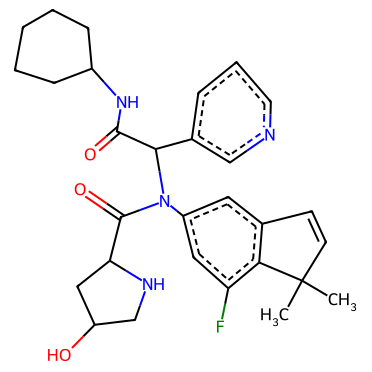 CC1(C)C=Cc2cc(N(C(=O)C3CC(O)CN3)C(C(=O)NC3CCCCC3)c3cccnc3)cc(F)c21